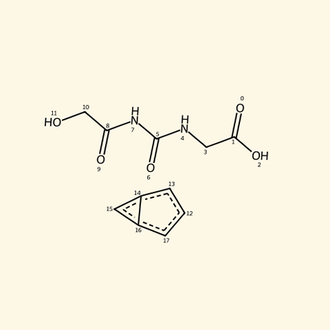 O=C(O)CNC(=O)NC(=O)CO.c1cc2cc-2c1